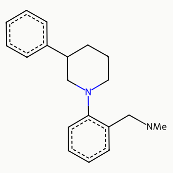 CNCc1ccccc1N1CCCC(c2ccccc2)C1